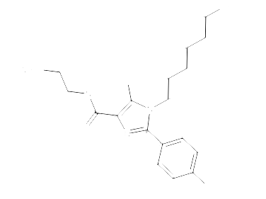 COCCNC(=O)c1nc(-c2ccc(F)cc2)n(CC[C@@H](O)C[C@@H](O)CC(=O)O)c1C(C)C